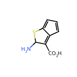 NC1SC2=CC=CC2=C1C(=O)O